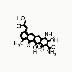 Cc1ccc(/C=C(\Cl)CO)c2c1C(=O)C1=C(O)[C@]3(O)C(=O)C(C(N)=O)C(O)[C@@H](N)C3CC1C2